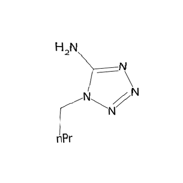 CCCCn1nnnc1N